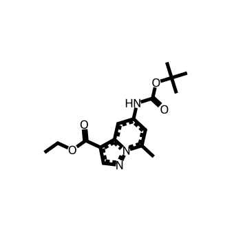 CCOC(=O)c1cnn2c(C)cc(NC(=O)OC(C)(C)C)cc12